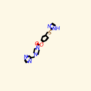 O=C(Oc1ccc(CSc2ncc[nH]2)cc1)N1CCN(Cc2cnccn2)CC1